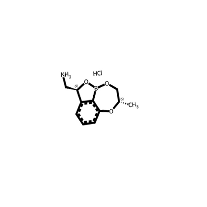 C[C@H]1COB2O[C@H](CN)c3cccc(c32)O1.Cl